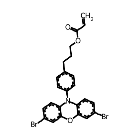 C=CC(=O)OCCCc1ccc(N2c3ccc(Br)cc3Oc3cc(Br)ccc32)cc1